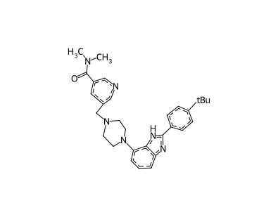 CN(C)C(=O)c1cncc(CN2CCN(c3cccc4nc(-c5ccc(C(C)(C)C)cc5)[nH]c34)CC2)c1